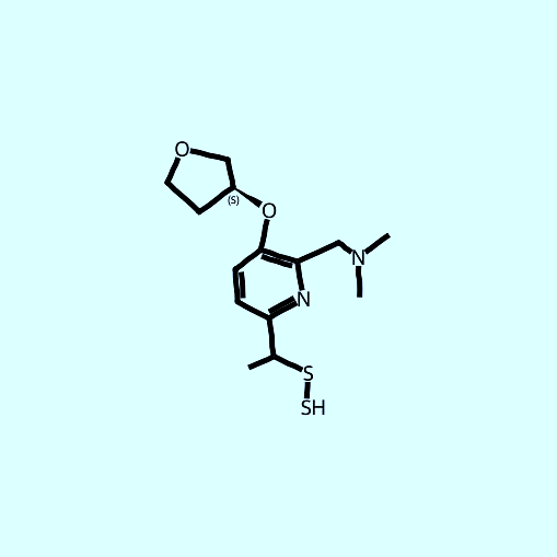 CC(SS)c1ccc(O[C@H]2CCOC2)c(CN(C)C)n1